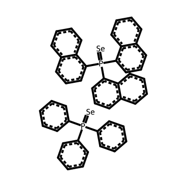 [Se]=P(c1cccc2ccccc12)(c1cccc2ccccc12)c1cccc2ccccc12.[Se]=P(c1ccccc1)(c1ccccc1)c1ccccc1